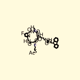 C/C=C1\NC(=O)c2cc(F)cc(n2)CNC(=O)C[C@@H](/C=C/CCSC(C)=O)OC(=O)[C@H](CCCCNC(=O)OCC2c3ccccc3-c3ccccc32)NC1=O